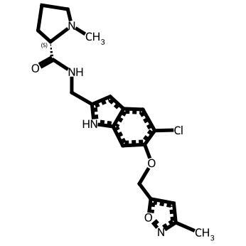 Cc1cc(COc2cc3[nH]c(CNC(=O)[C@@H]4CCCN4C)cc3cc2Cl)on1